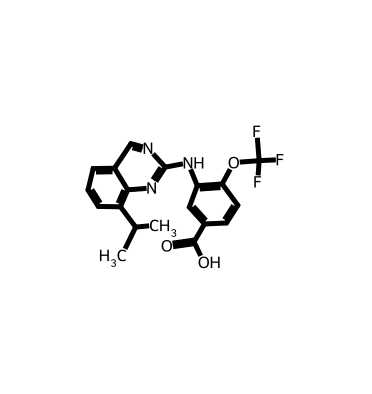 CC(C)c1cccc2cnc(Nc3cc(C(=O)O)ccc3OC(F)(F)F)nc12